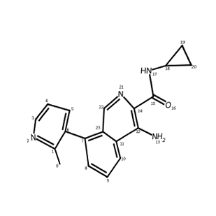 Cc1ncccc1-c1cccc2c(N)c(C(=O)NC3CC3)ncc12